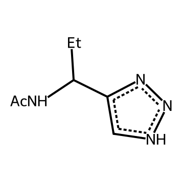 CCC(NC(C)=O)c1c[nH]nn1